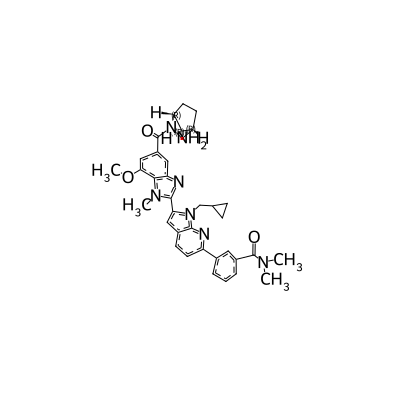 COc1cc(C(=O)N2C[C@H]3CC[C@@H]2[C@@H]3N)cc2nc(-c3cc4ccc(-c5cccc(C(=O)N(C)C)c5)nc4n3CC3CC3)n(C)c12